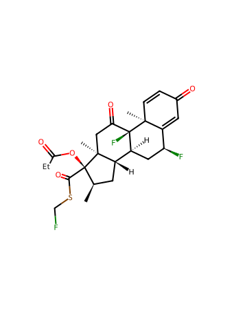 CCC(=O)O[C@]1(C(=O)SCF)[C@H](C)C[C@H]2[C@@H]3C[C@H](F)C4=CC(=O)C=C[C@]4(C)[C@@]3(F)C(=O)C[C@@]21C